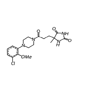 COc1c(Cl)cccc1N1CCN(C(=O)CCC2(C)NC(=O)NC2=O)CC1